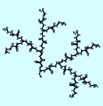 CCN(CCC(=O)NCCN(CCC(=O)NCCN(CCC(=O)NCCN)CCC(=O)NCCN)CCC(=O)NCCN(CCC(=O)NCCN)CCC(=O)NCCN)CCC(=O)NCCN(CCC(=O)NCCN(CCC(=O)NCCN)CCC(=O)NCCN)CCC(=O)NCCN(CCC(=O)NCCN)CCC(=O)NCCN